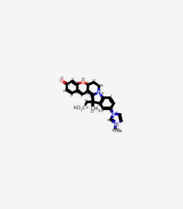 CCCC[n+]1ccn(-c2ccc3c(c2)C(C)(CC(=O)O)C2=C4C=C5C=CC(=O)C=C5OC4CCN23)c1